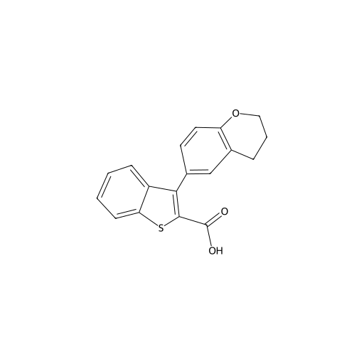 O=C(O)c1sc2ccccc2c1-c1ccc2c(c1)CCCO2